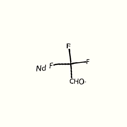 O=[C]C(F)(F)F.[Nd]